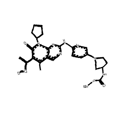 C=C(OCC)c1c(C)c2cnc(Nc3ccc(N4CCC(NC(=O)OC(C)(C)C)C4)cn3)nc2n(C2CCCC2)c1=O